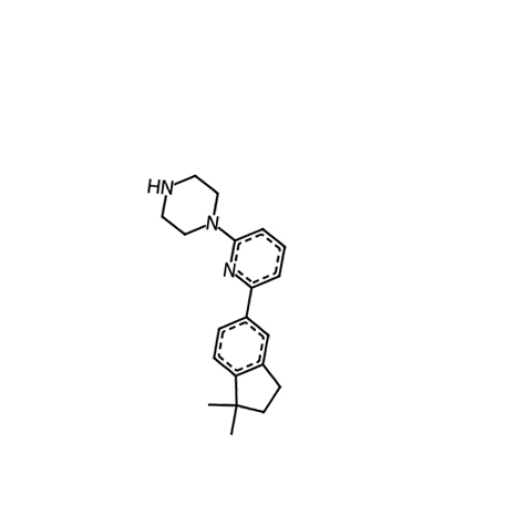 CC1(C)CCc2cc(-c3cccc(N4CCNCC4)n3)ccc21